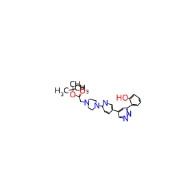 CC(C)(C)OC(=O)CN1CCN(c2ccc(-c3cnnc(-c4ccccc4O)c3)cn2)CC1